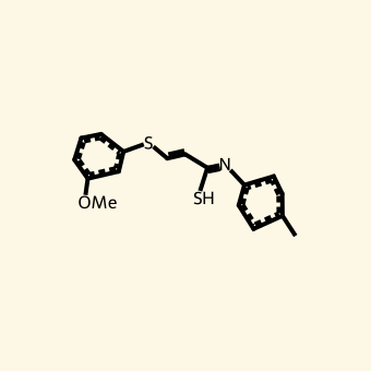 COc1cccc(SC=CC(S)=Nc2ccc(C)cc2)c1